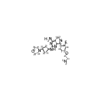 CN(C)CCOc1ccc(-c2nccc3c(N)nc(Nc4ccc(N5CCOCC5)cc4)nc23)c(F)c1